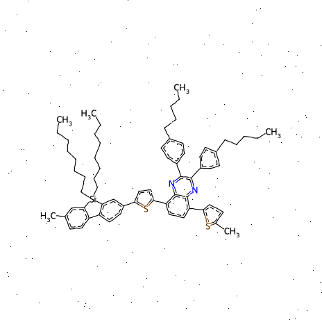 CCCCCCCC[Si]1(CCCCCCCC)c2cc(C)ccc2-c2ccc(-c3ccc(-c4ccc(-c5ccc(C)s5)c5nc(-c6ccc(CCCCC)cc6)c(-c6ccc(CCCCC)cc6)nc45)s3)cc21